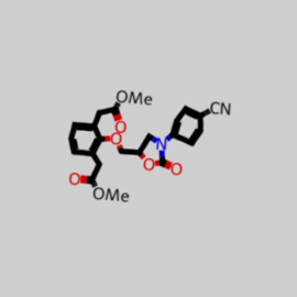 COC(=O)Cc1cccc(CC(=O)OC)c1OCC1CN(c2ccc(C#N)cc2)C(=O)O1